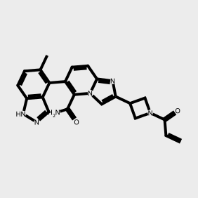 C=CC(=O)N1CC(c2cn3c(C(N)=O)c(-c4c(C)ccc5[nH]ncc45)ccc3n2)C1